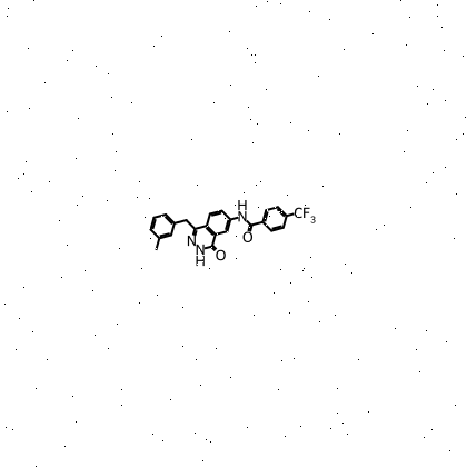 Cc1cccc(Cc2n[nH]c(=O)c3cc(NC(=O)c4ccc(C(F)(F)F)cc4)ccc23)c1